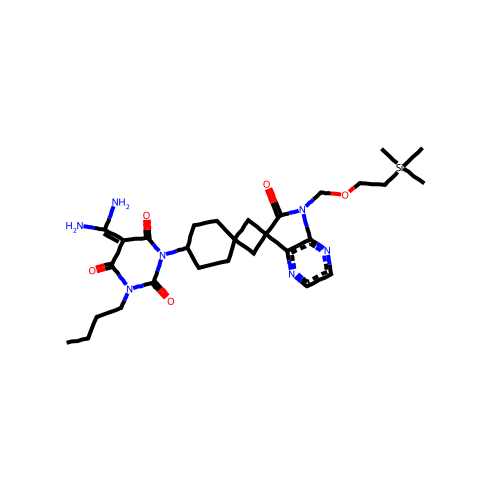 CCCCN1C(=O)C(=C(N)N)C(=O)N(C2CCC3(CC2)CC2(C3)C(=O)N(COCC[Si](C)(C)C)c3nccnc32)C1=O